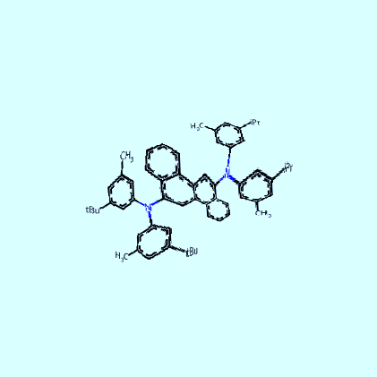 Cc1cc(C(C)C)cc(N(c2cc(C)cc(C(C)C)c2)c2cc3c4ccccc4c(N(c4cc(C)cc(C(C)(C)C)c4)c4cc(C)cc(C(C)(C)C)c4)cc3c3ccccc23)c1